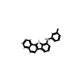 Cc1cccc(Nc2cccc3c2oc2c4ccccc4ccc32)c1